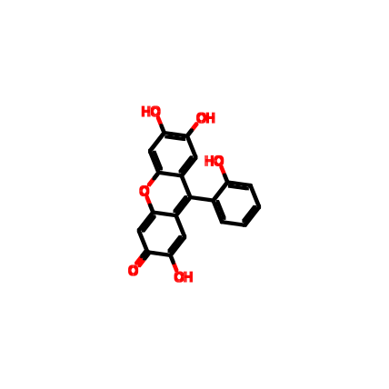 O=c1cc2oc3cc(O)c(O)cc3c(-c3ccccc3O)c-2cc1O